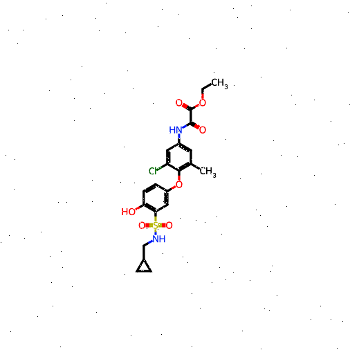 CCOC(=O)C(=O)Nc1cc(C)c(Oc2ccc(O)c(S(=O)(=O)NCC3CC3)c2)c(Cl)c1